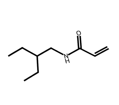 C=CC(=O)NCC(CC)CC